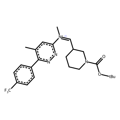 Cc1cc(/[N+](C)=C\C2CCCN(C(=O)OC(C)(C)C)C2)nnc1-c1ccc(C(F)(F)F)cc1